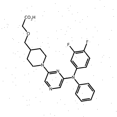 O=C(O)COCC1CCN(c2cncc(N(c3ccccc3)c3ccc(F)c(F)c3)n2)CC1